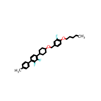 CCCCCOc1ccc(COC2CCC(c3ccc(-c4ccc(C)cc4)c(F)c3F)CC2)cc1F